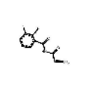 C=CC(=O)NC(=O)c1cccc(F)c1F